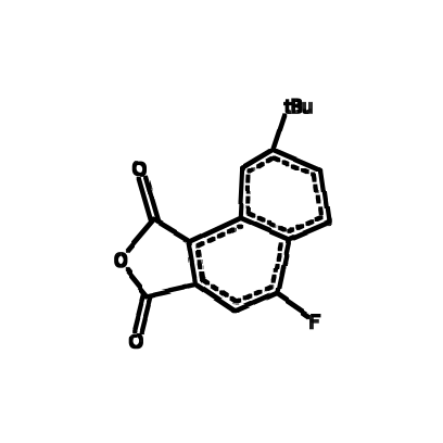 CC(C)(C)c1ccc2c(F)cc3c(c2c1)C(=O)OC3=O